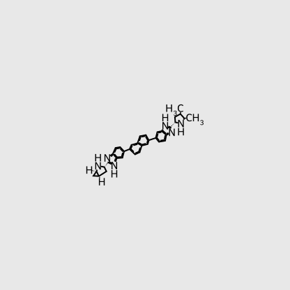 C[C@@H]1C[C@@H](c2nc3ccc(-c4ccc5cc(-c6ccc7nc([C@@H]8C[C@H]9C[C@H]9N8)[nH]c7c6)ccc5c4)cc3[nH]2)N[C@@H]1C